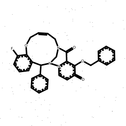 O=C1c2c(OCc3ccccc3)c(=O)ccn2N2CN1C/C=C\COc1c(F)cccc1C2c1ccccc1